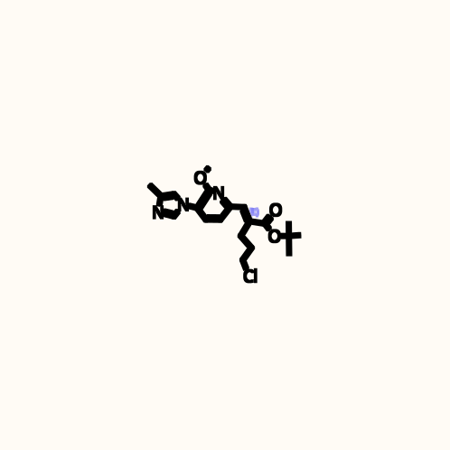 COc1nc(/C=C(\CCCCl)C(=O)OC(C)(C)C)ccc1-n1cnc(C)c1